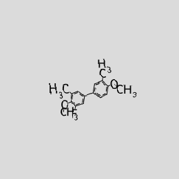 COc1ccc(-c2cc(C)c(OC)c(F)c2)cc1C